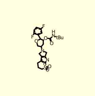 CC(C)(C)NC(=O)OC1CC(N2Cc3nn4c(c3C2)CCCS4(=O)=O)COC1c1cc(F)ccc1F